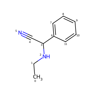 CCNC(C#N)c1ccccc1